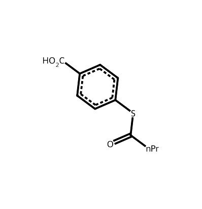 CCCC(=O)Sc1ccc(C(=O)O)cc1